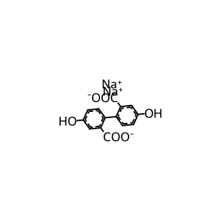 O=C([O-])c1cc(O)ccc1-c1ccc(O)cc1C(=O)[O-].[Na+].[Na+]